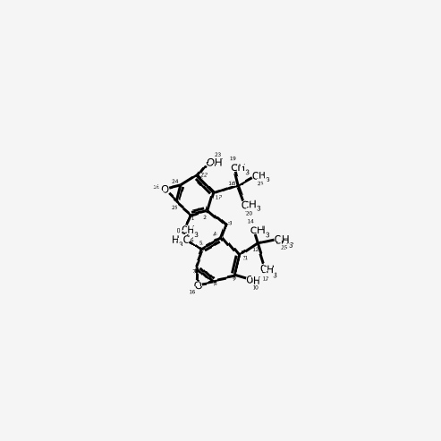 Cc1c(Cc2c(C)c3c(c(O)c2C(C)(C)C)O3)c(C(C)(C)C)c(O)c2c1O2